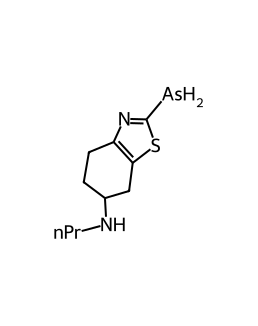 CCCNC1CCc2nc([AsH2])sc2C1